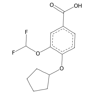 O=C(O)c1ccc(OC2CCCC2)c(OC(F)F)c1